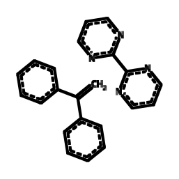 C=C(c1ccccc1)c1ccccc1.c1cnc(-c2ncccn2)nc1